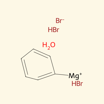 Br.Br.O.[Br-].[Mg+][c]1ccccc1